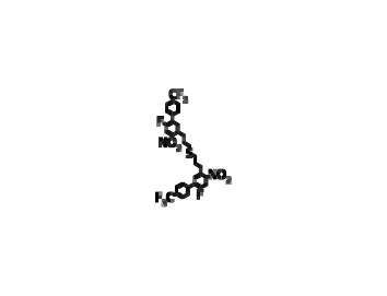 O=[N+]([O-])c1cc(F)c(-c2ccc(C(F)(F)F)cc2)cc1CCCSCCCc1cc(-c2ccc(C(F)(F)F)cc2)c(F)cc1[N+](=O)[O-]